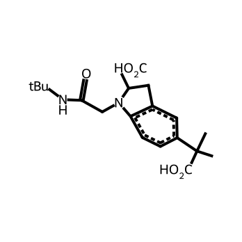 CC(C)(C)NC(=O)CN1c2ccc(C(C)(C)C(=O)O)cc2CC1C(=O)O